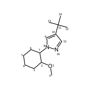 COC1CCCCC1n1cc(C(C)(C)C)cn1